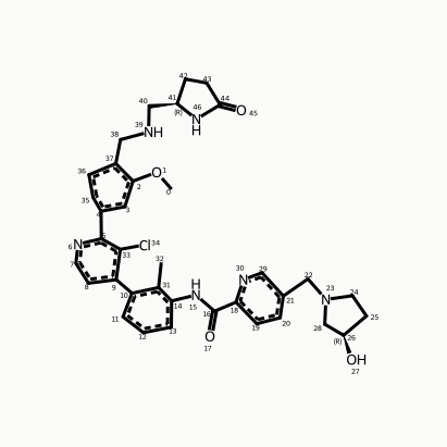 COc1cc(-c2nccc(-c3cccc(NC(=O)c4ccc(CN5CC[C@@H](O)C5)cn4)c3C)c2Cl)ccc1CNC[C@H]1CCC(=O)N1